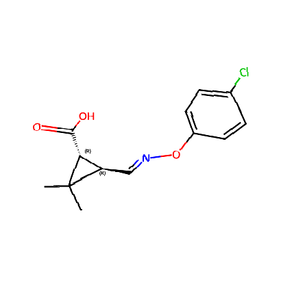 CC1(C)[C@H](C=NOc2ccc(Cl)cc2)[C@H]1C(=O)O